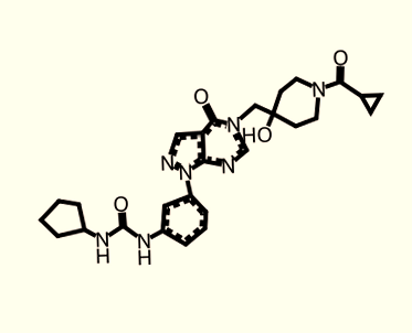 O=C(Nc1cccc(-n2ncc3c(=O)n(CC4(O)CCN(C(=O)C5CC5)CC4)cnc32)c1)NC1CCCC1